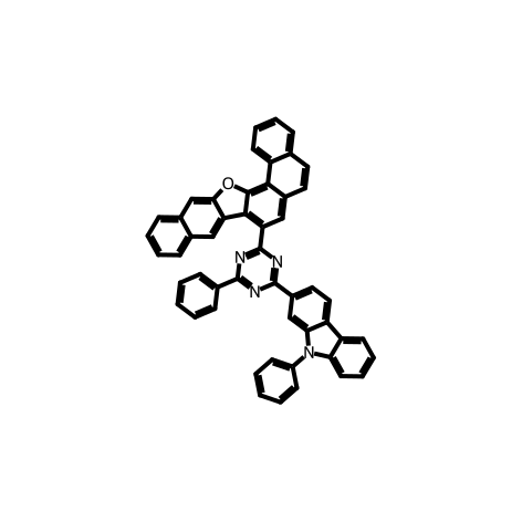 c1ccc(-c2nc(-c3ccc4c5ccccc5n(-c5ccccc5)c4c3)nc(-c3cc4ccc5ccccc5c4c4oc5cc6ccccc6cc5c34)n2)cc1